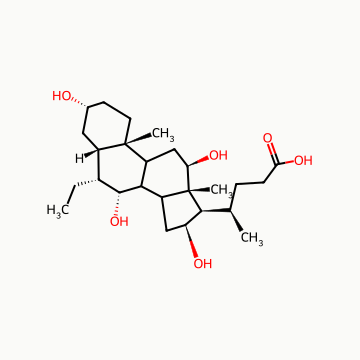 CC[C@H]1[C@@H](O)C2C3C[C@H](O)[C@H]([C@H](C)CCC(=O)O)[C@@]3(C)[C@H](O)CC2[C@@]2(C)CC[C@@H](O)C[C@@H]12